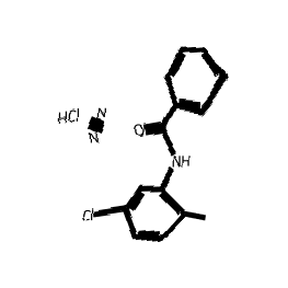 Cc1ccc(Cl)cc1NC(=O)c1ccccc1.Cl.N#N